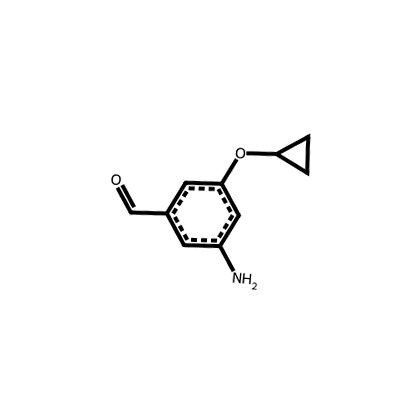 Nc1cc(C=O)cc(OC2CC2)c1